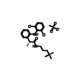 CS(=O)(=O)[O-].C[C@@H](C(=O)NCCC[N+](C)(C)C)c1ccccc1Nc1c(Cl)cccc1Cl